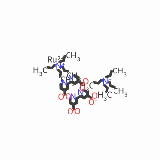 CCCC[N+](CCCC)(CCCC)CCCC.CCCC[N+](CCCC)(CCCC)CCCC.O=C([O-])c1ccnc(-c2cc(C(=O)[O-])ccn2)c1.O=C([O-])c1ccnc(-c2cc(C(=O)[O-])ccn2)c1.[Ru+2]